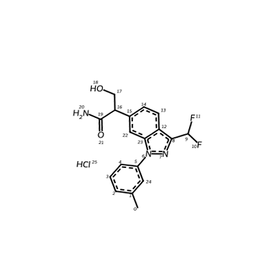 Cc1cccc(-n2nc(C(F)F)c3ccc(C(CO)C(N)=O)cc32)c1.Cl